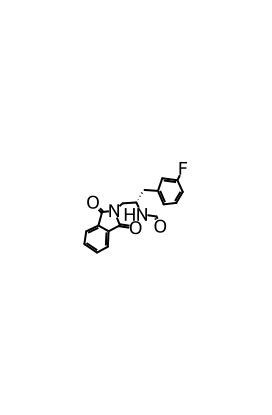 O=CN[C@@H](Cc1cccc(F)c1)CN1C(=O)c2ccccc2C1=O